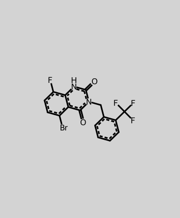 O=c1[nH]c2c(F)ccc(Br)c2c(=O)n1Cc1ccccc1C(F)(F)F